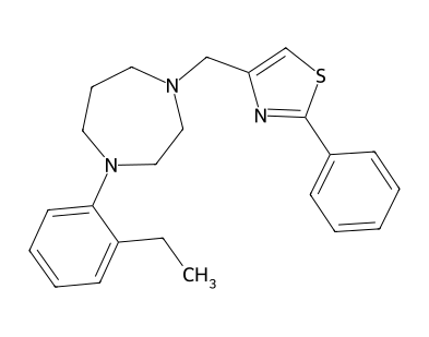 CCc1ccccc1N1CCCN(Cc2csc(-c3ccccc3)n2)CC1